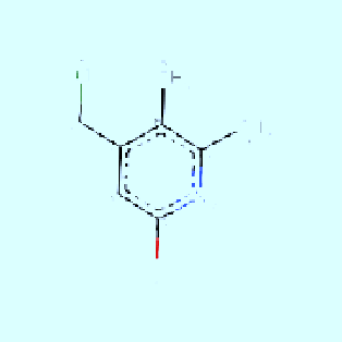 Cc1nc(O)cc(CCl)c1C